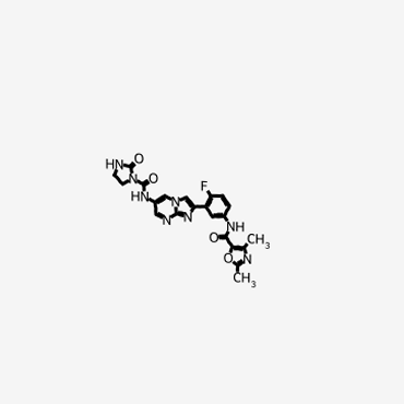 Cc1nc(C)c(C(=O)Nc2ccc(F)c(-c3cn4cc(NC(=O)N5CCNC5=O)cnc4n3)c2)o1